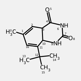 CC1=CC2C(=O)NC(=O)NC2C(C(C)(C)C)=C1